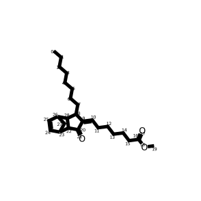 CCCCCCCCC1/C(=C/CCCCCC(=O)OC)C(=O)C2C3C=CC(C3)C12